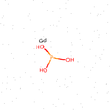 OP(O)O.[Gd]